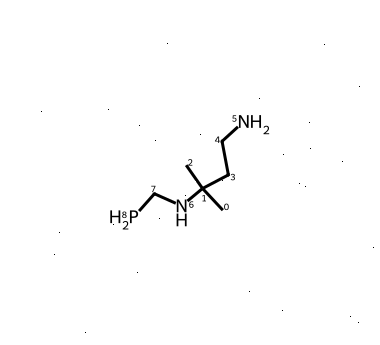 CC(C)(CCN)NCP